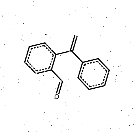 C=C(c1ccccc1)c1ccccc1C=O